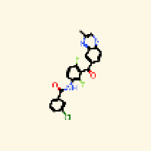 Cc1cnc2ccc(C(=O)c3c(F)ccc(NC(=O)c4cccc(Cl)c4)c3F)cc2n1